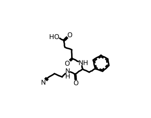 N#CCCNC(=O)C(Cc1ccccc1)NC(=O)CCC(=O)O